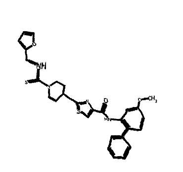 COc1ccc(-c2ccccc2)c(NC(=O)c2csc(C3CCN(C(=S)NCc4ccco4)CC3)n2)c1